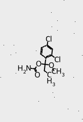 CCC(OC)(OC(N)=O)c1ccc(Cl)cc1Cl